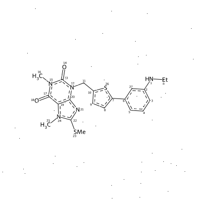 CCNc1cccc(-c2ccc(Cn3c(=O)n(C)c(=O)c4c3nc(SC)n4C)s2)c1